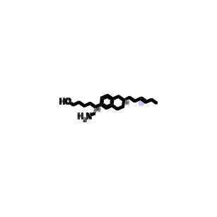 CC/C=C/CC[C@H]1CCc2cc([C@H](CN)CCCCO)ccc2C1